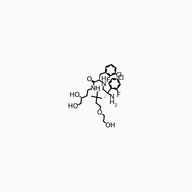 CC(C)(CCOCCO)C[C@H](N[C@H](Cc1cccc(Cl)c1F)C(=O)NCC[C@H](O)CO)[C@](C)(N)c1ccc(Cl)cc1F